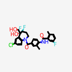 Cc1cc(C(=O)N2CCC(F)(F)[C@](O)(CO)c3cc(Cl)ccc32)ccc1NC(=O)c1cc(F)ccc1C